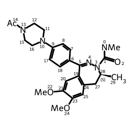 CNC(=O)N1N=C(c2ccc(N3CCN(C(C)=O)CC3)cc2)c2cc(OC)c(OC)cc2C[C@@H]1C